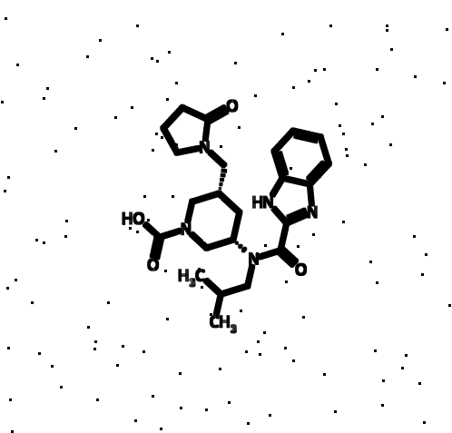 CC(C)CN(C(=O)c1nc2ccccc2[nH]1)[C@H]1C[C@@H](CN2CCCC2=O)CN(C(=O)O)C1